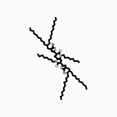 CCCCCCCCCCCCC(CCCCCCCCCC)Cc1cc(-c2cc3c(cc(-c4cc(CC(CCCCCCCCCC)CCCCCCCCCCCC)c(Br)s4)c(=O)n3CCCCCCCC)n(CCCCCCCC)c2=O)sc1Br